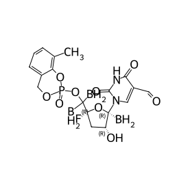 BC(B)(OP1(=O)OCc2cccc(C)c2O1)[C@]1(F)C[C@@H](O)[C@](B)(n2cc(C=O)c(=O)[nH]c2=O)O1